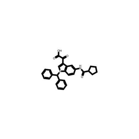 O=C(O)C(=O)c1cn(C(c2ccccc2)c2ccccc2)c2ccc(NC(=O)C3CCCC3)cc12